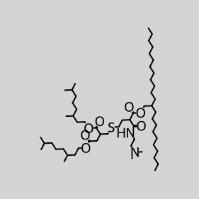 CCCCCCCCCCCCC(CCCCCCCCCC)COC(=O)C(CCSCC(CC(=O)OCCC(C)CCCC(C)C)C(=O)OCCC(C)CCCC(C)C)C(=O)NCCN(C)C